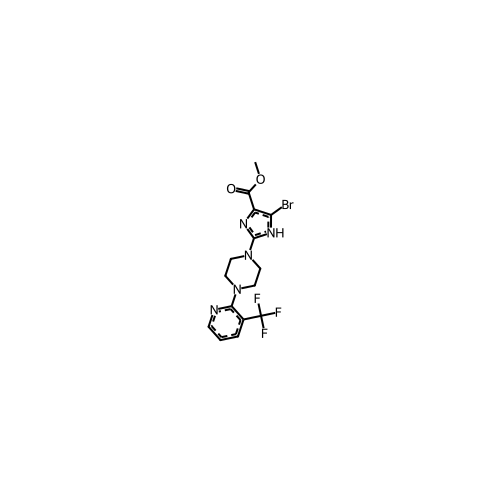 COC(=O)c1nc(N2CCN(c3ncccc3C(F)(F)F)CC2)[nH]c1Br